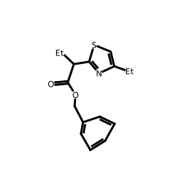 CCc1csc(C(CC)C(=O)OCc2ccccc2)n1